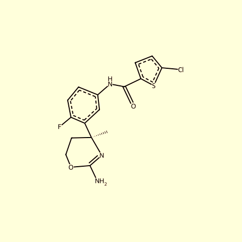 C[C@@]1(c2cc(NC(=O)c3ccc(Cl)s3)ccc2F)CCOC(N)=N1